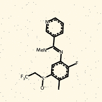 CN/C(=N\c1cc([S+]([O-])CC(F)(F)F)c(C)cc1F)c1cccnc1